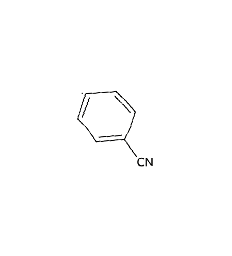 N#Cc1cc[c]cc1